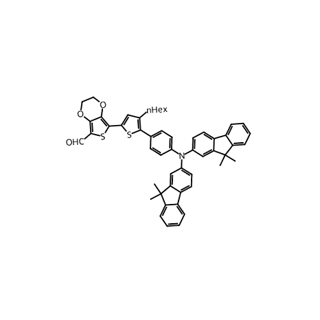 CCCCCCc1cc(-c2sc(C=O)c3c2OCCO3)sc1-c1ccc(N(c2ccc3c(c2)C(C)(C)c2ccccc2-3)c2ccc3c(c2)C(C)(C)c2ccccc2-3)cc1